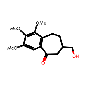 COc1cc2c(c(OC)c1OC)CCC(CO)CC2=O